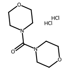 Cl.Cl.O=C(N1CCOCC1)N1CCOCC1